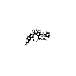 C=C(C)c1cc(C(=O)N2Cc3ccc(CC=O)cc3C2)c(C)cc1OCc1ccccc1